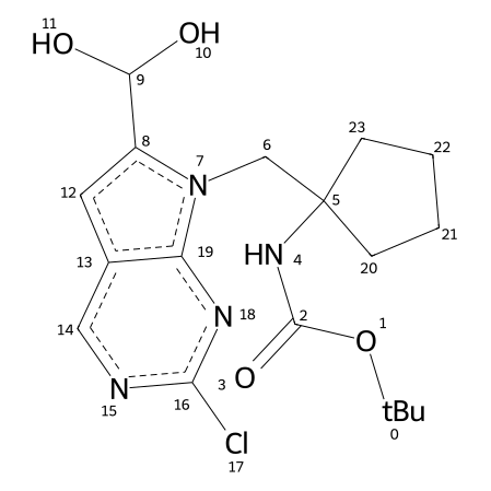 CC(C)(C)OC(=O)NC1(Cn2c(C(O)O)cc3cnc(Cl)nc32)CCCC1